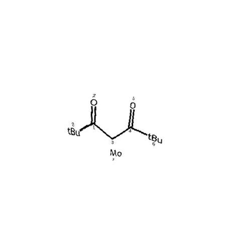 CC(C)(C)C(=O)CC(=O)C(C)(C)C.[Mo]